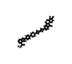 NC(=O)c1cccc2cc(-c3ccc(C4CCN(C5CN(C6CN(c7ccc8c(c7)C(=O)N(C7CCC(=O)NC7=O)C8=O)C6)C5)CC4)cc3)[nH]c12